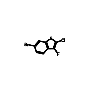 Fc1c(Cl)sc2cc(Br)ccc12